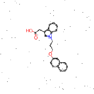 O=C(O)Cc1cn(CCCOc2ccc3ccccc3c2)c2ccccc12